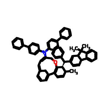 CC1C=CC2=C(OC/C(N(c3ccc(-c4ccccc4)cc3)c3ccc(-c4ccccc4)cc3)=C\C=C3\C=CC=C2C3)[C@@H]1C(C1=CC2C(C=C1)c1ccccc1C2(C)C)c1ccccc1